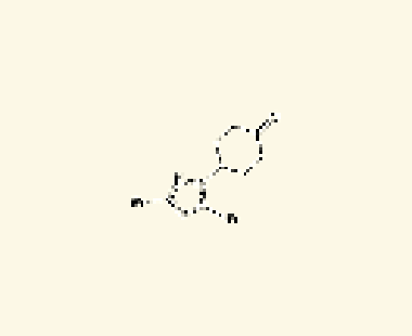 CC(C)c1cc(C(C)C)n(C2CCC(=O)CC2)n1